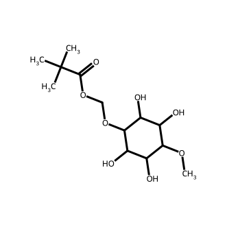 COC1C(O)C(O)C(OCOC(=O)C(C)(C)C)C(O)C1O